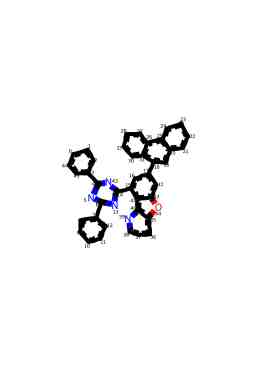 c1ccc(-c2nc(-c3ccccc3)nc(-c3cc(-c4cc5ccccc5c5ccccc45)cc4oc5cccnc5c34)n2)cc1